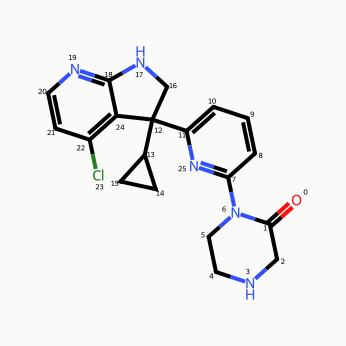 O=C1CNCCN1c1cccc(C2(C3CC3)CNc3nccc(Cl)c32)n1